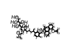 Cc1ccc(C(C)CCCC(=O)N(CC(=O)N(C)C)C[C@H](O)[C@@H](O)[C@H](O)[C@H](O)CO)cc1CNC1(c2cnccc2-c2ccccc2OC2CC2)CC1